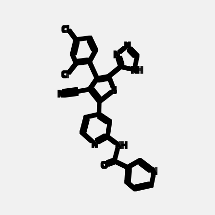 N#Cc1c(-c2ccnc(NC(=O)c3cccnc3)c2)sc(-c2nnc[nH]2)c1-c1ccc(Cl)cc1Cl